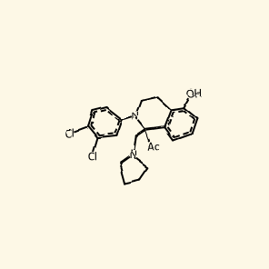 CC(=O)C1(CN2CCCC2)c2cccc(O)c2CCN1c1ccc(Cl)c(Cl)c1